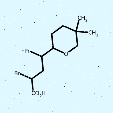 CCCC(CC(Br)C(=O)O)C1CCC(C)(C)CO1